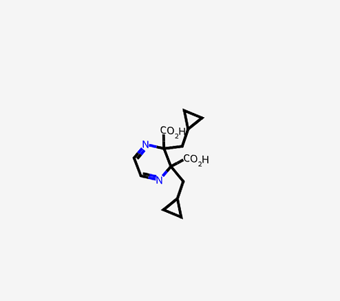 O=C(O)C1(CC2CC2)N=CC=NC1(CC1CC1)C(=O)O